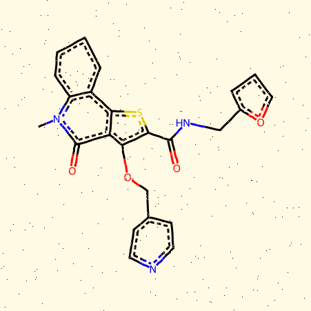 Cn1c(=O)c2c(OCc3ccncc3)c(C(=O)NCc3ccco3)sc2c2ccccc21